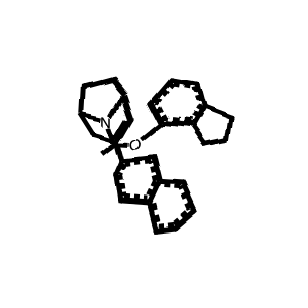 CC(Oc1cccc2c1CCC2)N1C2C=C(c3ccc4ccccc4c3)CC1CC2